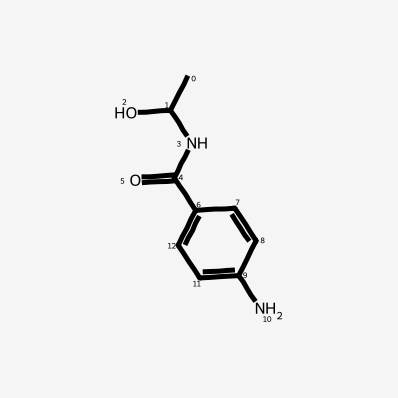 CC(O)NC(=O)c1ccc(N)cc1